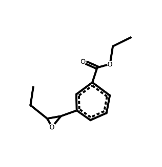 CCOC(=O)c1cccc(C2OC2CC)c1